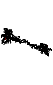 O=C(NCCOCCOCCNC(=O)c1ccc(NC(=O)[C@@H]2NC3(CCCCC3)[C@@]3(C(=O)Nc4cc(Cl)ccc43)[C@H]2c2cccc(Cl)c2F)cc1)c1ccc(NC(=O)[C@@H]2NC3(CCCCC3)[C@@]3(C(=O)Nc4cc(Cl)ccc43)[C@H]2c2cccc(Cl)c2F)cc1